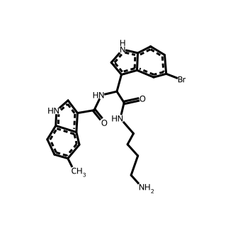 Cc1ccc2[nH]cc(C(=O)NC(C(=O)NCCCCN)c3c[nH]c4ccc(Br)cc34)c2c1